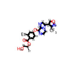 CCc1cc(Oc2nccn3c(-c4conc4C(F)(F)F)cnc23)ccc1C(=O)O[C@@H](C)CO